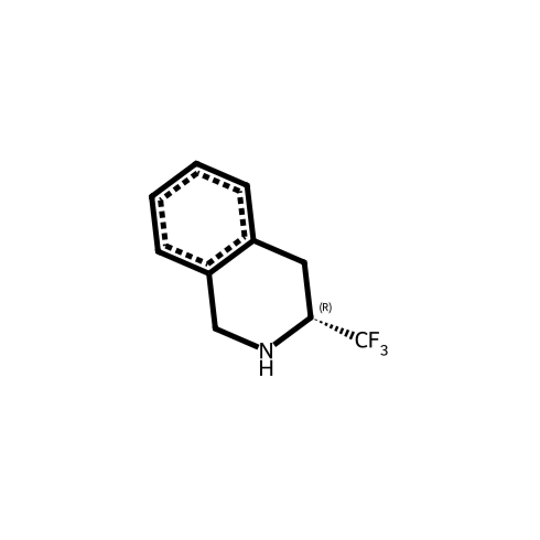 FC(F)(F)[C@H]1Cc2ccccc2CN1